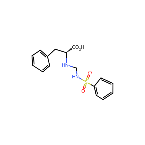 O=C(O)[C@H](Cc1ccccc1)NCNS(=O)(=O)c1ccccc1